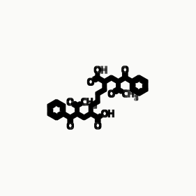 CC(=O)C(CC(CCCCC(CC(C(C)=O)C(=O)c1ccccc1)C(=O)O)C(=O)O)C(=O)c1ccccc1